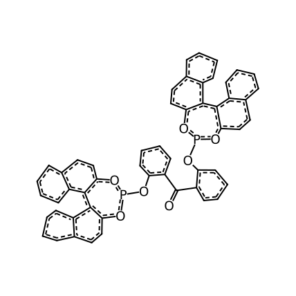 O=C(c1ccccc1Op1oc2ccc3ccccc3c2c2c(ccc3ccccc32)o1)c1ccccc1Op1oc2ccc3ccccc3c2c2c(ccc3ccccc32)o1